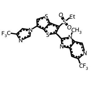 CCS(=O)(=O)c1c(-c2nc3cc(C(F)(F)F)ncc3n2C)sc2c(-n3cnc(C(F)(F)F)c3)csc12